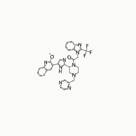 COc1nc2ccccc2cc1-c1cnc(C2CN(Cc3cnccn3)CCN2C(=O)Cn2c(C(F)(F)F)nc3ccccc32)[nH]1